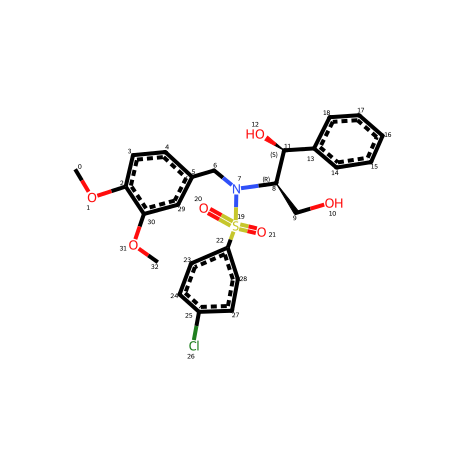 COc1ccc(CN([C@H](CO)[C@@H](O)c2ccccc2)S(=O)(=O)c2ccc(Cl)cc2)cc1OC